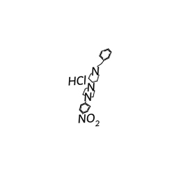 Cl.O=[N+]([O-])c1ccc(N2CCN(C3CCN(CCc4ccccc4)CC3)CC2)cc1